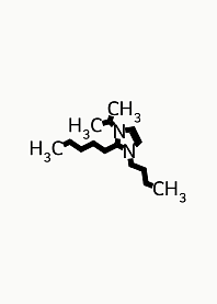 CCCCCC1N(CCCC)C=CN1C(C)C